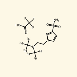 O=C(O)C(F)(F)F.[2H]C([2H])([2H])N(CCn1ccc(S(N)(=O)=O)n1)C([2H])([2H])[2H]